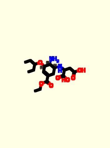 CCOC(=O)C1=C[C@@H](OC(CC)CC)[C@H](N)[C@@H](NC(CC(=O)O)C(=O)O)C1